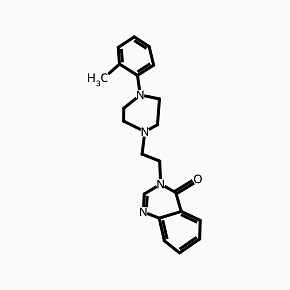 Cc1ccccc1N1CCN(CCn2cnc3ccccc3c2=O)CC1